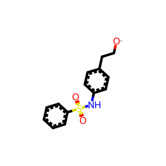 [O]CCc1ccc(NS(=O)(=O)c2ccccc2)cc1